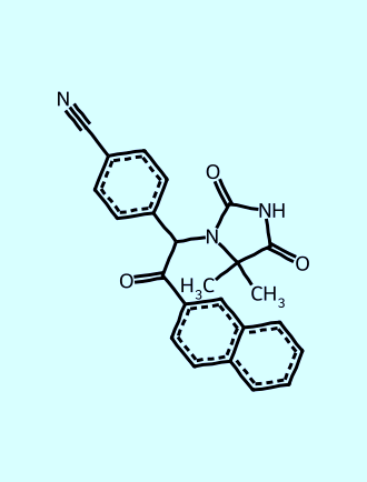 CC1(C)C(=O)NC(=O)N1C(C(=O)c1ccc2ccccc2c1)c1ccc(C#N)cc1